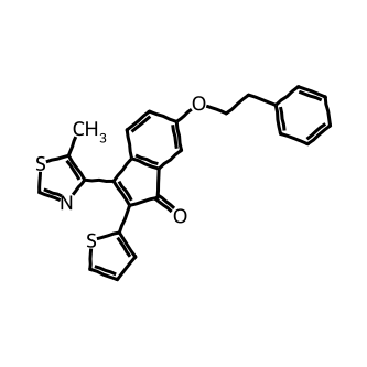 Cc1scnc1C1=C(c2cccs2)C(=O)c2cc(OCCc3ccccc3)ccc21